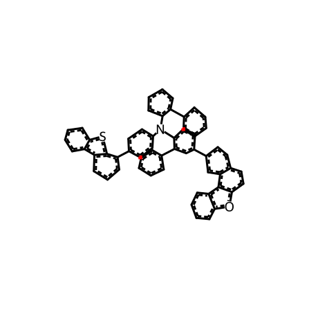 c1ccc(-c2ccccc2N(c2ccc(-c3cccc4c3sc3ccccc34)cc2)c2ccc(-c3ccc4ccc5oc6ccccc6c5c4c3)cc2-c2ccccc2)cc1